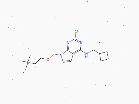 C[Si](C)(C)CCOCn1ccc2c(NCC3CCC3)nc(Cl)nc21